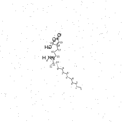 CCCCCCCCCCCC(C)N(N)CCCC1=CC(=O)OC1O